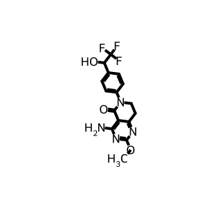 COc1nc(N)c2c(n1)CCN(c1ccc(C(O)C(F)(F)F)cc1)C2=O